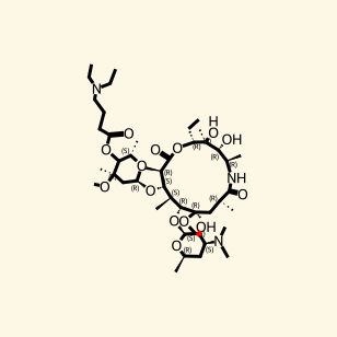 CC[C@H]1OC(=O)[C@H](C)[C@@H](O[C@H]2C[C@@](C)(OC)C(OC(=O)CCCN(CC)CC)[C@H](C)O2)[C@H](C)[C@@H](O[C@@H]2O[C@H](C)C[C@H](N(C)C)[C@H]2O)[C@](C)(OC)C[C@@H](C)C(=O)N[C@H](C)[C@@H](O)[C@]1(C)O